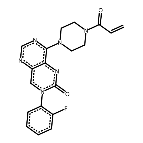 C=CC(=O)N1CCN(c2ncnc3cn(-c4ccccc4F)c(=O)nc23)CC1